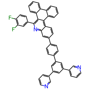 Fc1ccc(-c2nc3cc(-c4ccc(-c5cc(-c6cccnc6)cc(-c6cccnc6)c5)cc4)ccc3c3c4ccccc4c4ccccc4c23)cc1F